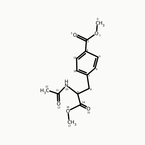 COC(=O)c1ccc(CC(NC(C)=O)C(=O)OC)cc1